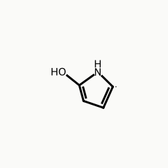 Oc1cc[c][nH]1